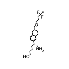 NC[C@H](CCCCO)c1ccc2c(c1)CC[C@H](COCCCC(F)(F)F)C2